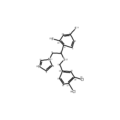 Fc1ccc(C(Cn2ccnc2)SCc2ccc(Cl)c(Cl)c2)c(F)c1